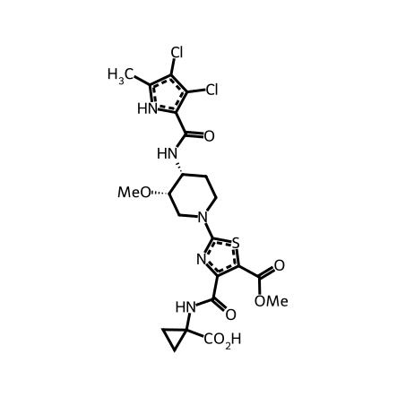 COC(=O)c1sc(N2CC[C@@H](NC(=O)c3[nH]c(C)c(Cl)c3Cl)[C@@H](OC)C2)nc1C(=O)NC1(C(=O)O)CC1